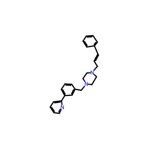 C(=Cc1ccccc1)CN1CCN(Cc2cccc(-c3ccccn3)c2)CC1